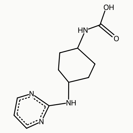 O=C(O)NC1CCC(Nc2ncccn2)CC1